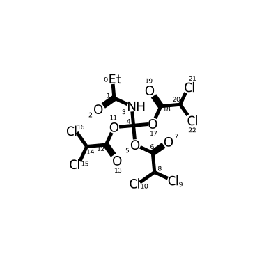 CCC(=O)NC(OC(=O)C(Cl)Cl)(OC(=O)C(Cl)Cl)OC(=O)C(Cl)Cl